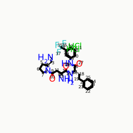 Cl.Cl.NC[C@@H]1CCCN1C(=O)C[C@H](N)C(=O)N[C@@H](CCc1ccccc1)C(=O)Nc1cccc(C(F)(F)F)c1